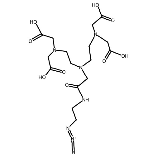 [N-]=[N+]=NCCNC(=O)CN(CCN(CC(=O)O)CC(=O)O)CCN(CC(=O)O)CC(=O)O